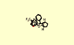 O=C(c1ccccc1-n1nccn1)N1[C@@H]2CC[C@H]1[C@H](Oc1cnc(C(F)(F)F)cn1)C2